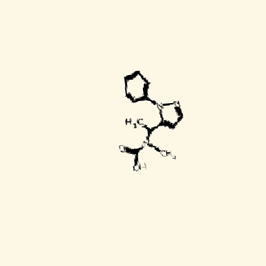 CC(c1ccnn1-c1ccccc1)N(C)C(=O)O